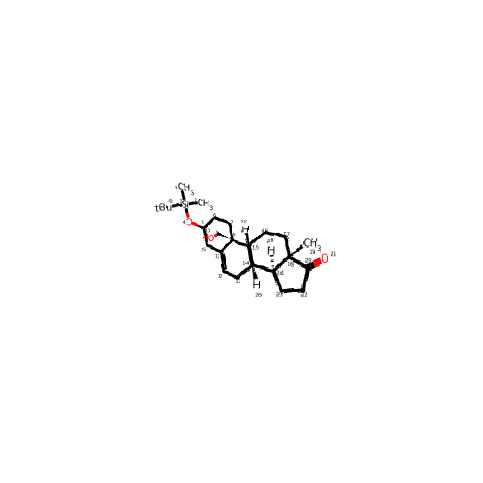 CC(C)(C)[Si](C)(C)OC1CC[C@@]2(CO)C(=CC[C@@H]3[C@H]2CC[C@]2(C)C(=O)CC[C@@H]32)C1